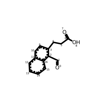 O=Cc1c(CCC(=O)O)ccc2ccccc12